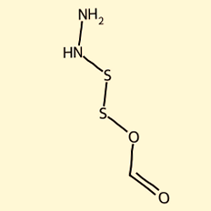 NNSSOC=O